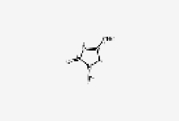 CC(C)N1CC(C=O)=NC1=O